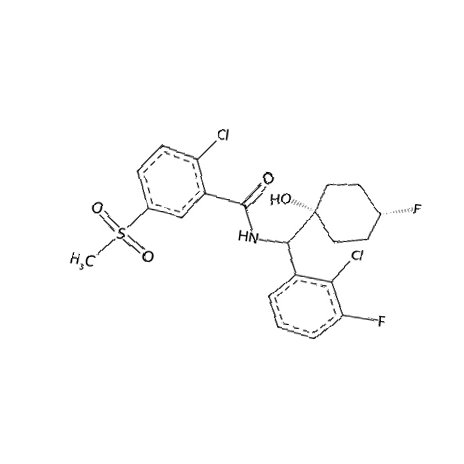 CS(=O)(=O)c1ccc(Cl)c(C(=O)NC(c2cccc(F)c2Cl)[C@]2(O)CC[C@@H](F)CC2)c1